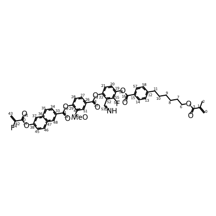 C=C(C)C(=O)OCCCCCCc1ccc(C(=O)Oc2ccc(OC(=O)c3ccc(OC(=O)c4ccc5cc(OC(=O)C(=C)F)ccc5c4)c(OC)c3)c(C=N)c2F)cc1